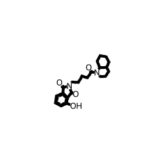 O=C1c2cccc(O)c2C(=O)N1CCCCC(=O)N1CCCC2CCCCC21